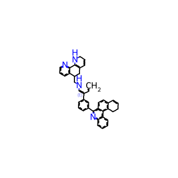 C=C/C(=C\NCC1CC2=C(NCC=C2)c2ncccc21)c1cccc(-c2nc3ccccc3c3c4c(ccc23)C=CCC4)c1